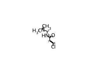 CN(C)CNC(=O)C=CCl